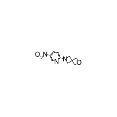 O=[N+]([O-])c1ccc(N2CC3(COC3)C2)nc1